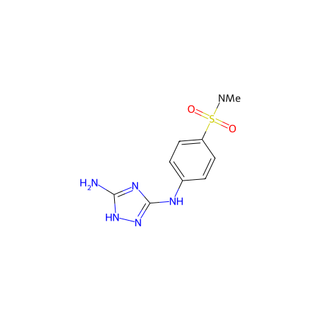 CNS(=O)(=O)c1ccc(Nc2n[nH]c(N)n2)cc1